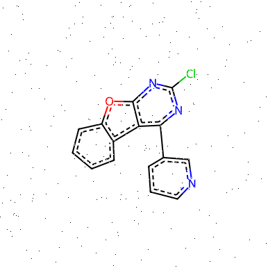 Clc1nc(-c2cccnc2)c2c(n1)oc1ccccc12